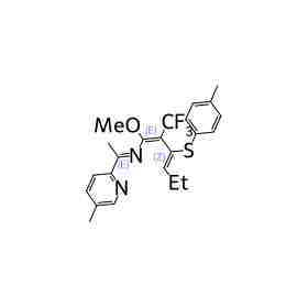 CC/C=C(Sc1ccc(C)cc1)/C(=C(\N=C(/C)c1ccc(C)cn1)OC)C(F)(F)F